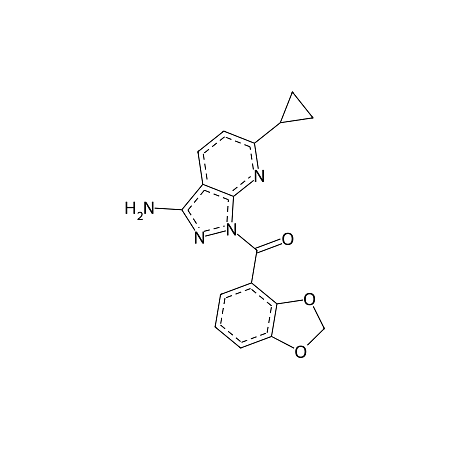 Nc1nn(C(=O)c2cccc3c2OCO3)c2nc(C3CC3)ccc12